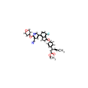 CC#CC(CC(=O)OC)c1ccc(O[C@@H]2CCc3c(-c4cnc(OC5CCOCC5)c(C#N)c4)ccc(F)c32)cc1